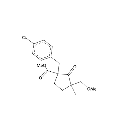 COCC1(C)CCC(Cc2ccc(Cl)cc2)(C(=O)OC)C1=O